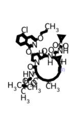 CCCOc1cc2c(Cl)cccc2c(O[C@@H]2C[C@H]3C(=O)N[C@]4(C(=O)NS(=O)(=O)C5CC5)C[C@H]4/C=C\CC[C@H](C)C[C@@H](C)[C@H](NC(=O)OC(C)(C)C)C(=O)N3C2)n1